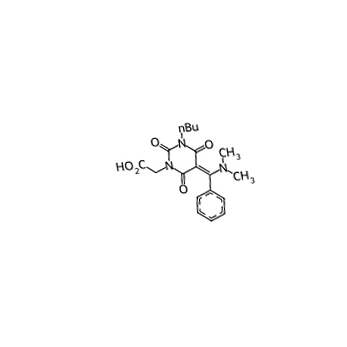 CCCCN1C(=O)C(=C(c2ccccc2)N(C)C)C(=O)N(CC(=O)O)C1=O